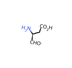 N[C@H]([C]=O)CC(=O)O